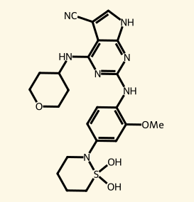 COc1cc(N2CCCCS2(O)O)ccc1Nc1nc(NC2CCOCC2)c2c(C#N)c[nH]c2n1